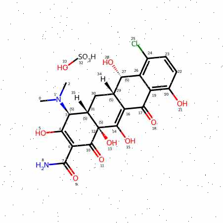 CN(C)[C@@H]1C(O)=C(C(N)=O)C(=O)[C@@]2(O)C(O)=C3C(=O)c4c(O)ccc(Cl)c4[C@@H](O)[C@H]3C[C@@H]12.O=S(=O)(O)O